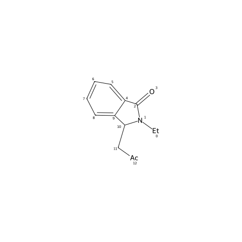 CCN1C(=O)c2ccccc2C1CC(C)=O